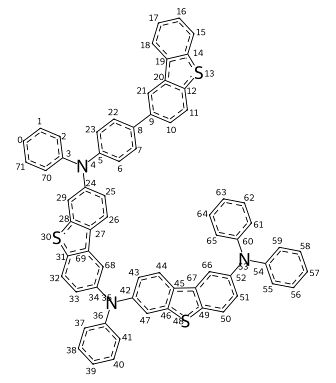 c1ccc(N(c2ccc(-c3ccc4sc5ccccc5c4c3)cc2)c2ccc3c(c2)sc2ccc(N(c4ccccc4)c4ccc5c(c4)sc4ccc(N(c6ccccc6)c6ccccc6)cc45)cc23)cc1